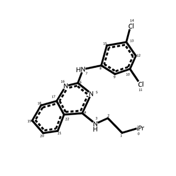 CC(C)CCNc1nc(Nc2cc(Cl)cc(Cl)c2)nc2ccccc12